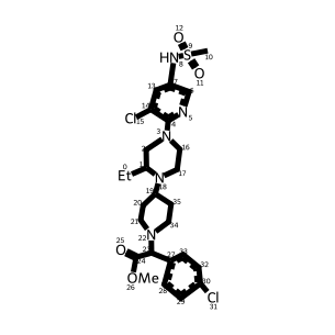 CCC1CN(c2ncc(NS(C)(=O)=O)cc2Cl)CCN1C1CCN(C(C(=O)OC)c2ccc(Cl)cc2)CC1